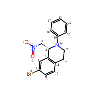 O=[N+]([O-])C[C@H]1c2cc(Br)ccc2CCN1c1ccccc1